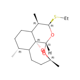 CCS[C@H]1O[C@@H]2O[C@@]3(C)CCC4[C@H](C)CCC([C@H]1C)[C@]42OO3